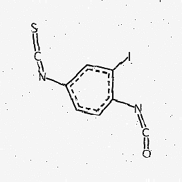 O=C=Nc1ccc(N=C=S)cc1I